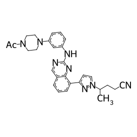 CC(=O)N1CCN(c2cccc(Nc3ncc4cccc(-c5ccn(C(C)CCC#N)n5)c4n3)c2)CC1